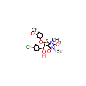 CCCCn1c(=O)c2c(C(O)c3ccc(Cl)cc3)c(Oc3cccc(OC(F)(F)F)c3)sc2n(C)c1=O